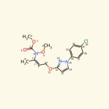 COC(=O)N(OC)/C(C)=C\COc1ccn(-c2ccc(Cl)cc2)n1